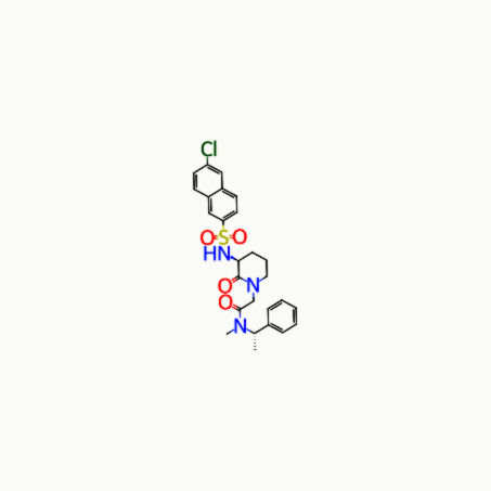 C[C@@H](c1ccccc1)N(C)C(=O)CN1CCC[C@H](NS(=O)(=O)c2ccc3cc(Cl)ccc3c2)C1=O